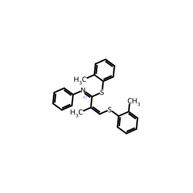 CC(=CSc1ccccc1C)/C(=N\c1ccccc1)Sc1ccccc1C